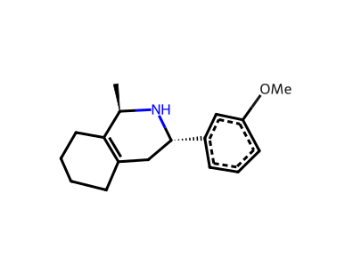 COc1cccc([C@@H]2CC3=C(CCCC3)[C@@H](C)N2)c1